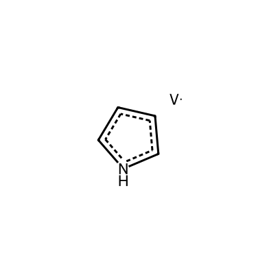 [V].c1cc[nH]c1